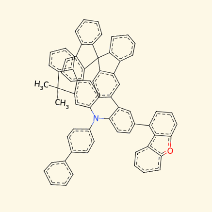 CC1(C)c2ccccc2-c2ccc(N(c3ccc(-c4ccccc4)cc3)c3ccc(-c4cccc5oc6ccccc6c45)cc3-c3ccc4c(c3)-c3ccccc3C43c4ccccc4-c4ccccc43)cc21